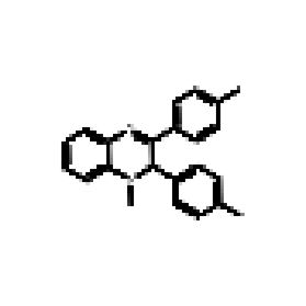 Cc1ccc(C2=Nc3ccccc3N(C)C2c2ccc(C)cc2)cc1